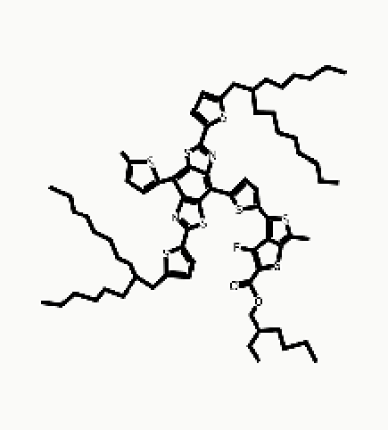 CCCCCCCCC(CCCCCC)Cc1ccc(-c2nc3c(-c4ccc(-c5sc(C)c6sc(C(=O)OCC(CC)CCCC)c(F)c56)s4)c4sc(-c5ccc(CC(CCCCCC)CCCCCCCC)s5)nc4c(-c4ccc(C)s4)c3s2)s1